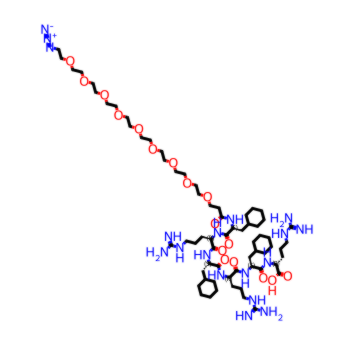 [N-]=[N+]=NCCOCCOCCOCCOCCOCCOCCOCCOCCOCCC(=O)N[C@@H](CC1CCCCC1)C(=O)N[C@H](CCCNC(=N)N)C(=O)N[C@@H](CC1CCCCC1)C(=O)N[C@H](CCCNC(=N)N)C(=O)N[C@@H](CC1CCCCC1)C(=O)N[C@H](CCCNC(=N)N)C(=O)O